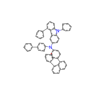 c1ccc(-c2ccc(N(c3ccc(-c4cccc5cccc(-c6ccccc6)c45)cc3)c3ccc4c(c3)c3c(-c5ccccc5)cccc3n4-c3ccccc3)cc2)cc1